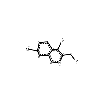 Clc1ccc2c(Br)c(CBr)ncc2c1